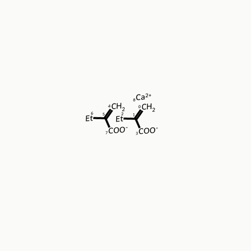 C=C(CC)C(=O)[O-].C=C(CC)C(=O)[O-].[Ca+2]